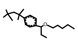 CCCCCOC(CC)c1ccc(C(C)(C)CC(C)(C)C)cc1